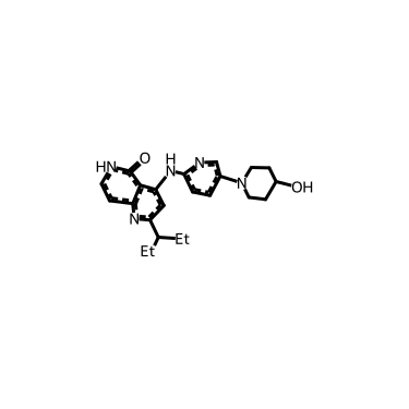 CCC(CC)c1cc(Nc2ccc(N3CCC(O)CC3)cn2)c2c(=O)[nH]ccc2n1